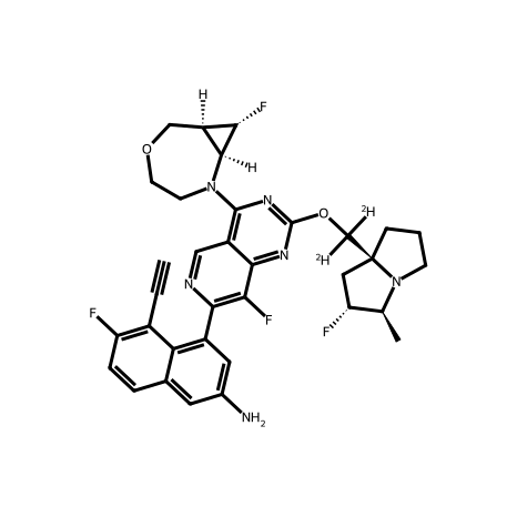 [2H]C([2H])(Oc1nc(N2CCOC[C@H]3[C@H](F)[C@H]32)c2cnc(-c3cc(N)cc4ccc(F)c(C#C)c34)c(F)c2n1)[C@@]12CCCN1[C@@H](C)[C@H](F)C2